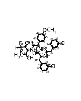 COc1ccc([C@H](NC(=O)[C@H](Cc2cccc(Cl)c2)NC(=O)Cc2cccc(Cl)c2)C(=O)N[C@H](C(=O)C(F)(F)F)C(C)C)cc1